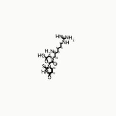 N=C(N)NCCCC[C@H](N)CN(CC(=O)O)C(=O)Cn1ccc(=O)[nH]c1=S